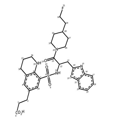 O=C(O)CCc1cc2c(c(S(=O)(=O)NC(Cc3nc4ccccc4s3)C(=O)N3CCC(CCF)CC3)c1)NCCC2